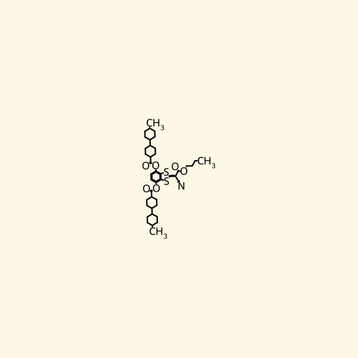 CCCCOC(=O)C(C#N)=C1Sc2c(OC(=O)C3CCC(C4CCC(C)CC4)CC3)ccc(OC(=O)C3CCC(C4CCC(C)CC4)CC3)c2S1